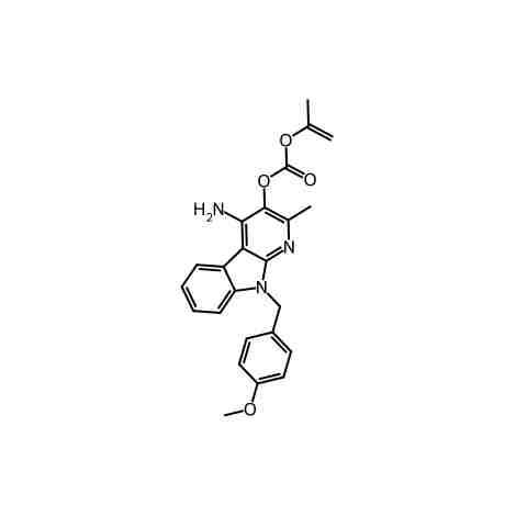 C=C(C)OC(=O)Oc1c(C)nc2c(c1N)c1ccccc1n2Cc1ccc(OC)cc1